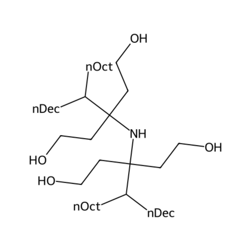 CCCCCCCCCCC(CCCCCCCC)C(CCO)(CCO)NC(CCO)(CCO)C(CCCCCCCC)CCCCCCCCCC